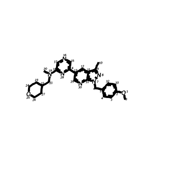 COc1ccc(Cn2nc(C)c3cc(-c4cncc(N(C)CC5CCOCC5)n4)cnc32)cc1